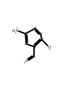 Nc1ccc(Cl)c([C]=O)c1